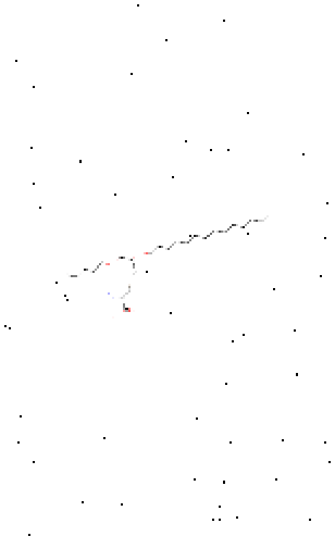 CCCCCCCCCCCCCCOC(COCCCCC)CSC[C@H](N)C(=O)O